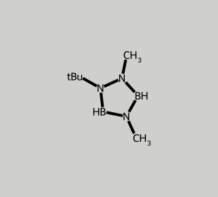 CN1BN(C)N(C(C)(C)C)B1